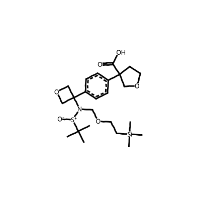 CC(C)(C)[S+]([O-])N(COCC[Si](C)(C)C)C1(c2ccc(C3(C(=O)O)CCOC3)cc2)COC1